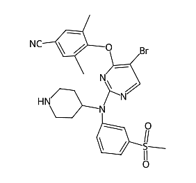 Cc1cc(C#N)cc(C)c1Oc1nc(N(c2cccc(S(C)(=O)=O)c2)C2CCNCC2)ncc1Br